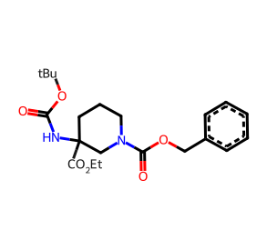 CCOC(=O)C1(NC(=O)OC(C)(C)C)CCCN(C(=O)OCc2ccccc2)C1